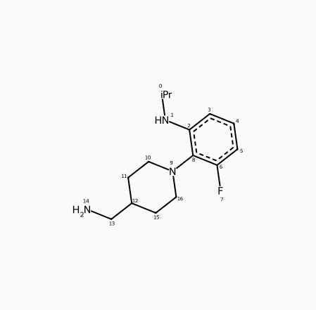 CC(C)Nc1cccc(F)c1N1CCC(CN)CC1